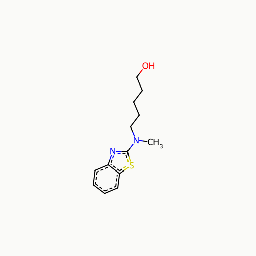 CN(CCCCCO)c1nc2ccccc2s1